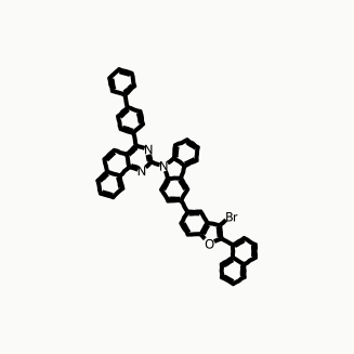 Brc1c(-c2cccc3ccccc23)oc2ccc(-c3ccc4c(c3)c3ccccc3n4-c3nc(-c4ccc(-c5ccccc5)cc4)c4ccc5ccccc5c4n3)cc12